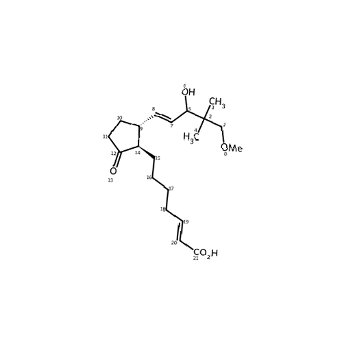 COCC(C)(C)C(O)/C=C/[C@H]1CCC(=O)[C@@H]1CCCC/C=C/C(=O)O